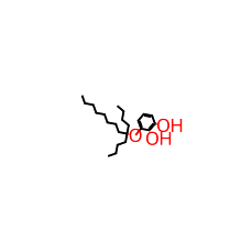 CCCCCCCCC(CCCC)(CCCC)Oc1cccc(O)c1O